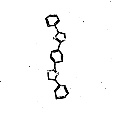 c1ccc(C2COC(c3ccc(C4=NC(c5ccccc5)CO4)cc3)=N2)cc1